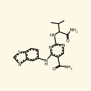 CC(C)C(Nc1ncc(C(N)=O)c(Nc2ccc3scnc3c2)n1)C(N)=O